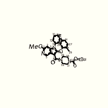 COc1cc2c(cn1)c(C(=O)N1CCN(C(=O)OC(C)(C)C)CC1)c(Oc1cc(F)ccc1C)n2-c1ccccc1